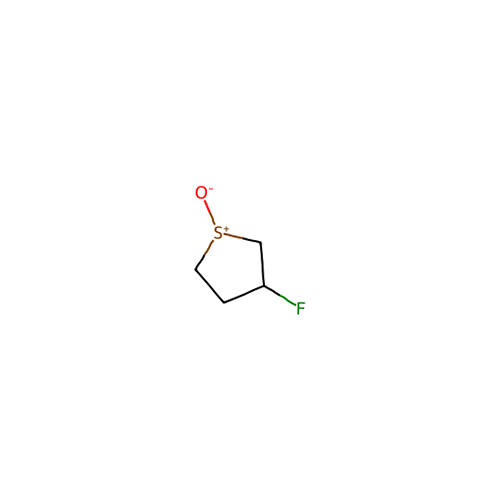 [O-][S+]1CCC(F)C1